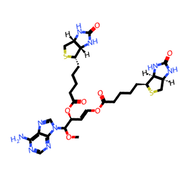 COC([C@H](/C=C/OC(=O)CCCC[C@@H]1SC[C@@H]2NC(=O)N[C@@H]21)OC(=O)CCCC[C@@H]1SC[C@@H]2NC(=O)N[C@@H]21)n1cnc2c(N)ncnc21